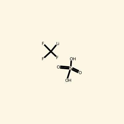 O=S(=O)(O)O.[Li][C](F)(F)F